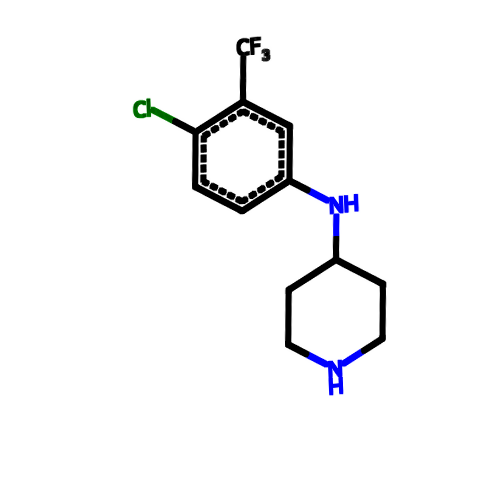 FC(F)(F)c1cc(NC2CCNCC2)ccc1Cl